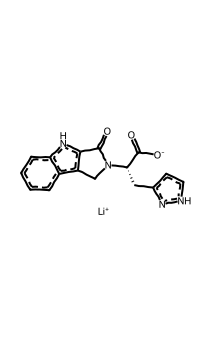 O=C([O-])[C@H](Cc1cc[nH]n1)N1Cc2c([nH]c3ccccc23)C1=O.[Li+]